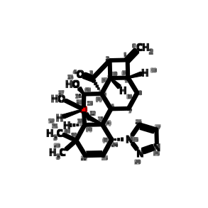 C=C1C2C(=O)[C@@]34C(CC[C@@H]1[C@@H]23)[C@@]12CO[C@]4(O)[C@@H](O)[C@@H]1C(C)(C)C=C[C@H]2n1ccnn1